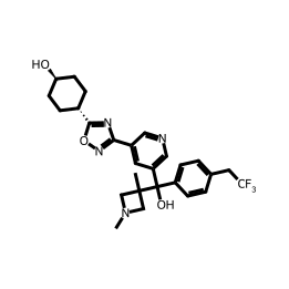 CN1CC(C)(C(O)(c2ccc(CC(F)(F)F)cc2)c2cncc(-c3noc([C@H]4CC[C@H](O)CC4)n3)c2)C1